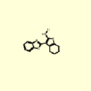 CCNc1sc2c(c1-c1nc3ccccc3s1)CCCC2